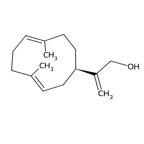 C=C(CO)[C@H]1C/C=C(\C)CC/C=C(\C)CC1